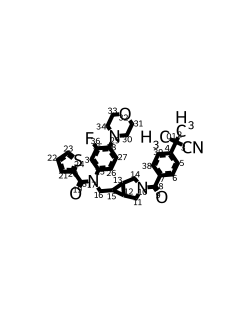 CC(C)(C#N)c1ccc(C(=O)N2CC3C(C2)C3CN(C(=O)c2cccs2)c2ccc(N3CCOCC3)c(F)c2)cc1